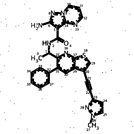 CC(NC(=O)c1c(N)nn2cccnc12)c1nc2scc(C#Cc3ccn(C)n3)c2cc1-c1ccccc1